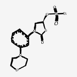 CCS(=O)(=O)O[C@@H]1CN(c2cccc(N3CCOCC3)c2)C(=O)O1